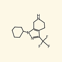 FC(F)(F)c1nn(C2CCCCC2)c2c1CCNC2